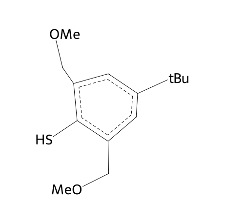 COCc1cc(C(C)(C)C)cc(COC)c1S